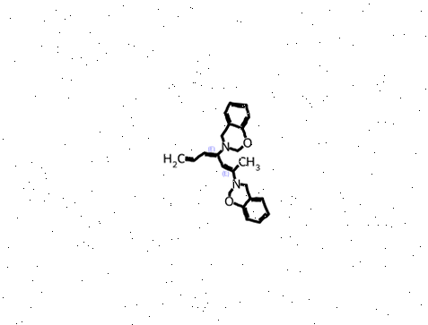 C=C/C=C(\C=C(/C)N1COc2ccccc2C1)N1COc2ccccc2C1